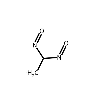 [CH2]C(N=O)N=O